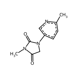 Cc1ccc(N2CC(=O)N(C)C2=O)cn1